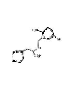 Nc1ccc(O)cc1CNC(Cc1ccccc1)C(=O)O